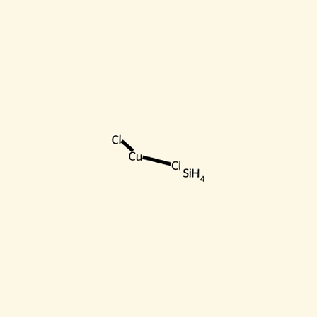 [Cl][Cu][Cl].[SiH4]